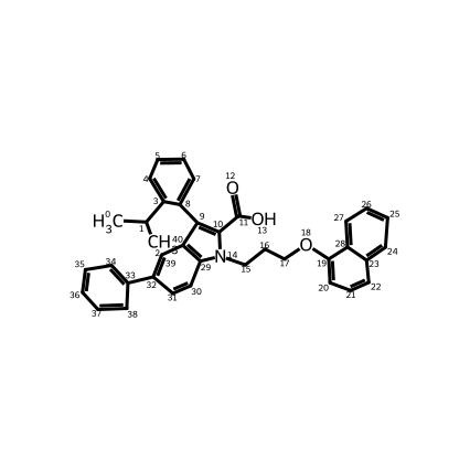 CC(C)c1ccccc1-c1c(C(=O)O)n(CCCOc2cccc3ccccc23)c2ccc(-c3ccccc3)cc12